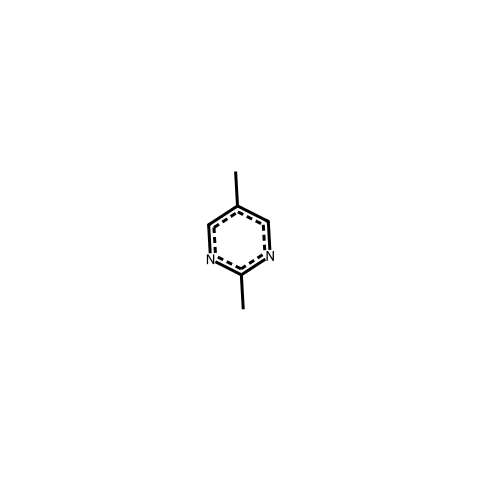 Cc1cnc(C)nc1